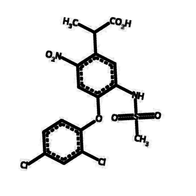 CC(C(=O)O)c1cc(NS(C)(=O)=O)c(Oc2ccc(Cl)cc2Cl)cc1[N+](=O)[O-]